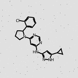 Clc1ccccc1C1CCCN1c1cc(Nc2cc(C3CC3)[nH]n2)ncn1